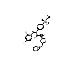 O=C(Nc1ncc(CN2CCCC2)s1)C(Oc1ccc(F)cc1F)c1ccc(S(=O)(=O)C2CC2)cc1